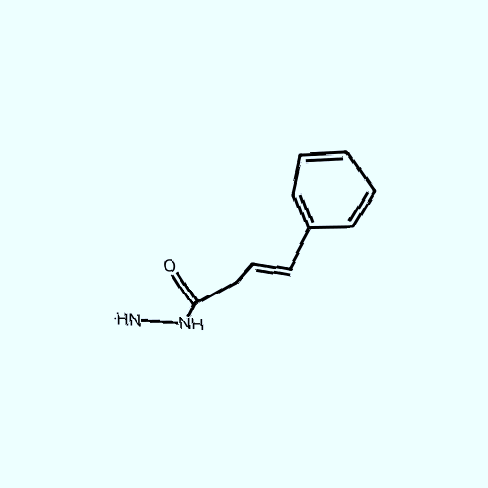 [NH]NC(=O)CC=Cc1ccccc1